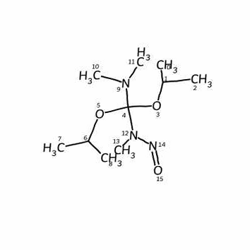 CC(C)OC(OC(C)C)(N(C)C)N(C)N=O